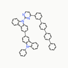 c1ccc(-c2ccc(-c3ccc(-c4cccc(-c5ccnc(-n6c7ccccc7c7cc(-c8ccc9c(c8)c8ccccc8n9-c8ccccc8)ccc76)n5)c4)cc3)cc2)cc1